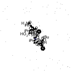 C/C(=C\C(C(C)C)N(C)C(=O)C(NC(=O)C(NCC(=O)OC(C)(C)C)C(C)(C)c1ccccc1)C(C)(C)C)C(=O)NS(=O)(=O)c1ccccc1NC(=O)C(CCCNC(N)=O)NC(=O)C(NC(=O)O)C(C)C